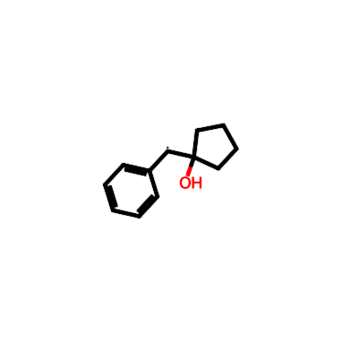 OC1([CH]c2ccccc2)CCCC1